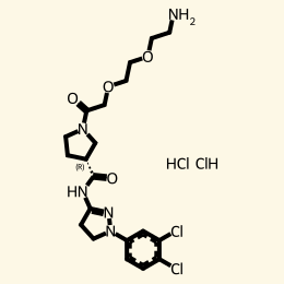 Cl.Cl.NCCOCCOCC(=O)N1CC[C@@H](C(=O)NC2=NN(c3ccc(Cl)c(Cl)c3)CC2)C1